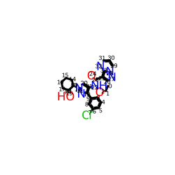 CCOc1ccc(Cl)cc1-c1nn([C@@H]2CCCC[C@H]2O)cc1NC(=O)c1cnn2cccnc12